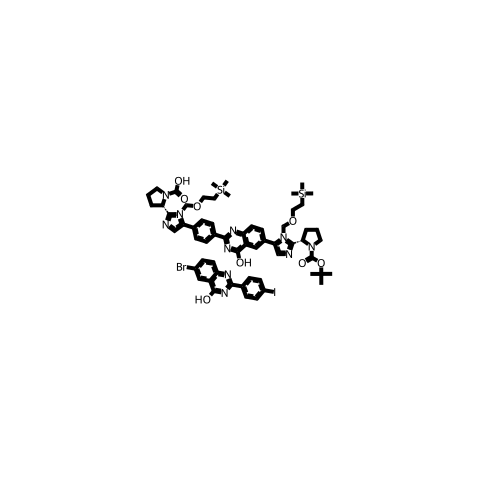 CC(C)(C)OC(=O)N1CCC[C@H]1c1ncc(-c2ccc3nc(-c4ccc(-c5cnc([C@@H]6CCCN6C(=O)O)n5COCC[Si](C)(C)C)cc4)nc(O)c3c2)n1COCC[Si](C)(C)C.Oc1nc(-c2ccc(I)cc2)nc2ccc(Br)cc12